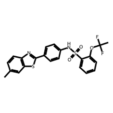 Cc1ccc2nc(-c3ccc(NS(=O)(=O)c4ccccc4OC(C)(F)F)cc3)sc2c1